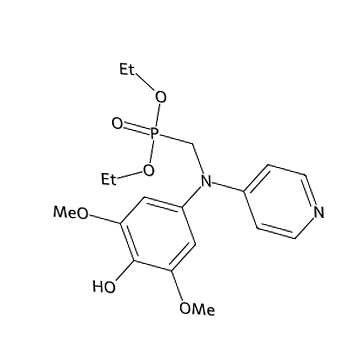 CCOP(=O)(CN(c1ccncc1)c1cc(OC)c(O)c(OC)c1)OCC